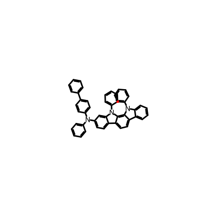 c1ccc(-c2ccc(N(c3ccccc3)c3ccc4c5ccc6c7ccccc7n(-c7ccccc7)c6c5n(-c5ccccc5)c4c3)cc2)cc1